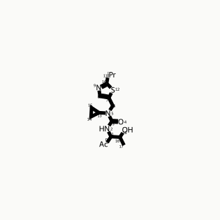 CC(=O)C(NC(=O)N(Cc1cnc(C(C)C)s1)C1CC1)C(C)O